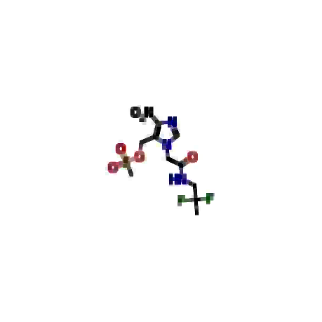 CC(F)(F)CNC(=O)Cn1cnc([N+](=O)[O-])c1COS(C)(=O)=O